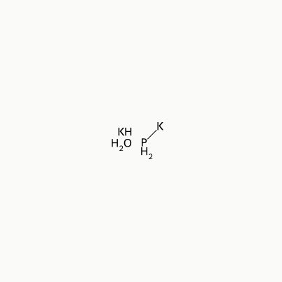 O.[KH].[PH2][K]